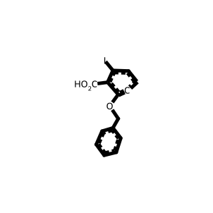 O=C(O)c1c(I)cccc1OCc1ccccc1